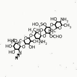 CC1O[C@H](O[C@@H]2C(OC=O)O[C@@H](O[C@@H]3C(C)O[C@H](C)C(N)[C@H]3O)C(OS(=O)(=O)O)[C@H]2O)C(N)C[C@@H]1O[C@@H]1O[C@@H](C(=O)O)[C@@H](O[C@H]2O[C@@H](C)[C@@H](O)[C@H](O)C2N=[N+]=[N-])[C@H](O)C1C